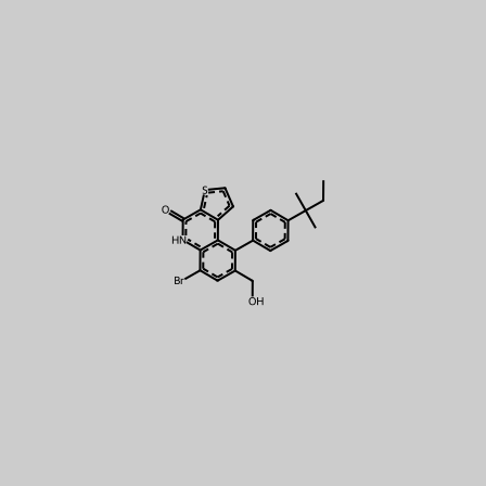 CCC(C)(C)c1ccc(-c2c(CO)cc(Br)c3[nH]c(=O)c4sccc4c23)cc1